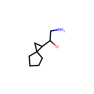 NCC([O])C1CC12CCCC2